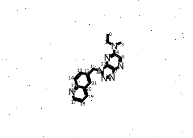 CCN(C)c1cnc2nnn(Cc3ccc4ncccc4c3)c2n1